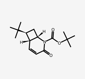 CC(C)(C)OC(=O)N1C(=O)C=C[C@H]2[C@@H]1C[C@@H]2C(C)(C)C